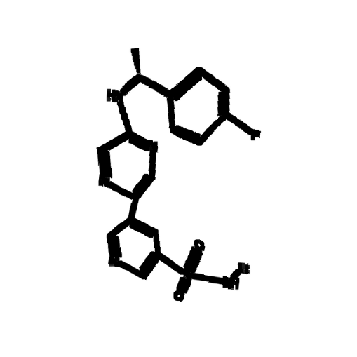 CCNS(=O)(=O)c1cncc(-c2cnc(N[C@H](C)c3ccc(F)cc3)cn2)c1